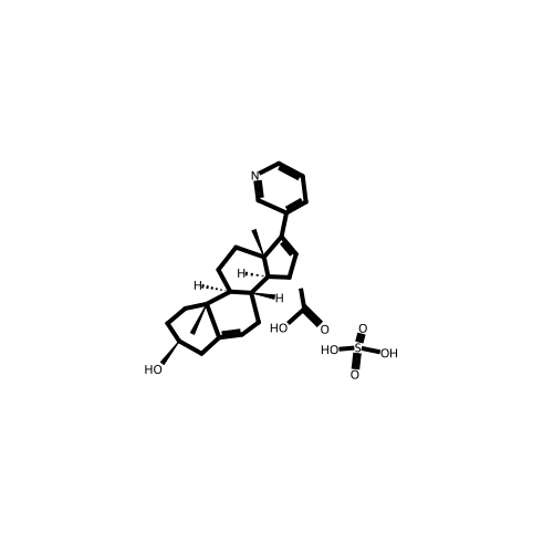 CC(=O)O.C[C@]12CC[C@H](O)CC1=CC[C@@H]1[C@@H]2CC[C@]2(C)C(c3cccnc3)=CC[C@@H]12.O=S(=O)(O)O